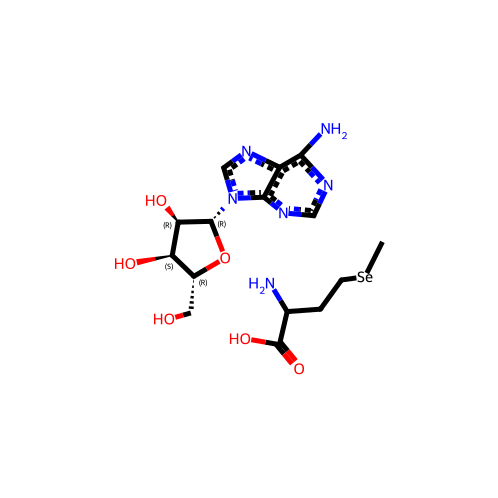 C[Se]CCC(N)C(=O)O.Nc1ncnc2c1ncn2[C@@H]1O[C@H](CO)[C@@H](O)[C@H]1O